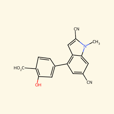 Cn1c(C#N)cc2c(-c3ccc(C(=O)O)c(O)c3)cc(C#N)cc21